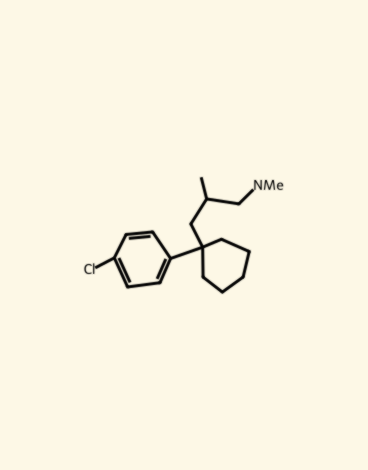 CNCC(C)CC1(c2ccc(Cl)cc2)CCCCC1